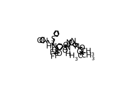 CC(C)(C)OC(=O)N1Cc2ncnc(NS(=O)(=O)c3ccc(N[C@H](CCN4CCOCC4)CSc4ccccc4)c(S(=O)(=O)C(F)(F)F)c3)c2C1